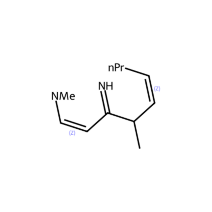 CCC/C=C\C(C)C(=N)/C=C\NC